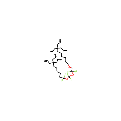 C=CCC(CC=C)(CC=C)CCCCCCOCC(F)(F)OC(F)(F)OC(F)(F)CCCCCC(CC=C)(CC=C)CC=C